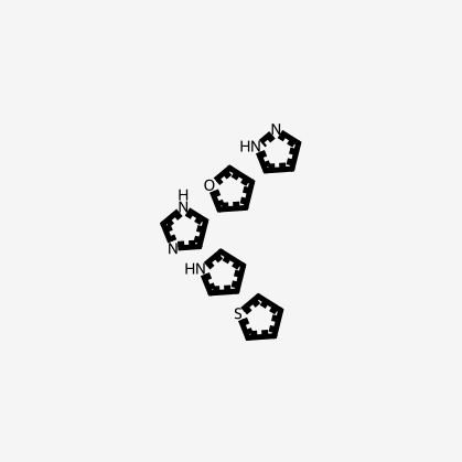 c1c[nH]cn1.c1cc[nH]c1.c1ccoc1.c1ccsc1.c1cn[nH]c1